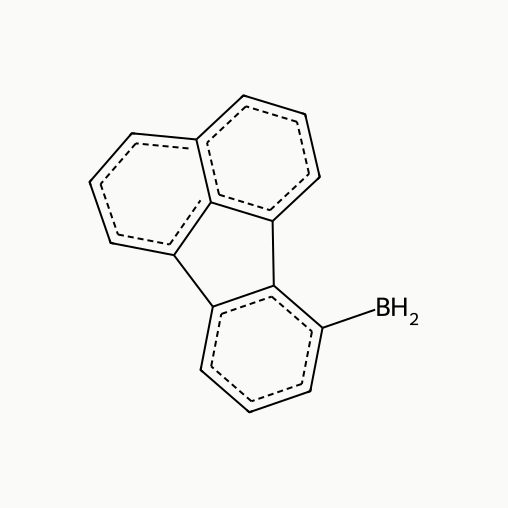 Bc1cccc2c1-c1cccc3cccc-2c13